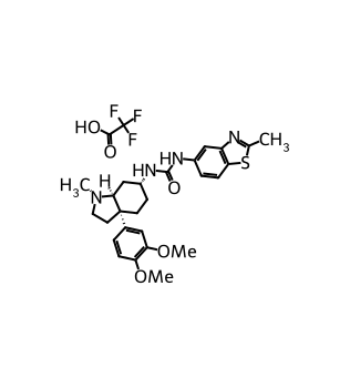 COc1ccc([C@@]23CC[C@@H](NC(=O)Nc4ccc5sc(C)nc5c4)C[C@@H]2N(C)CC3)cc1OC.O=C(O)C(F)(F)F